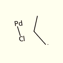 [CH2]CC.[Cl][Pd]